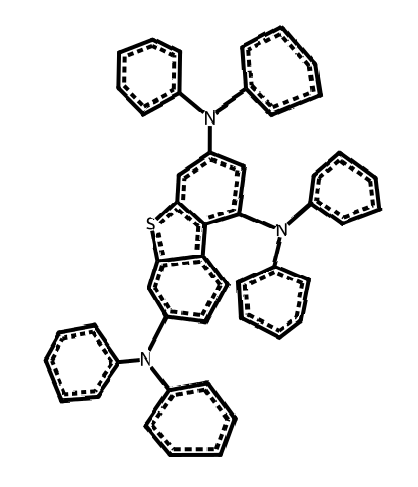 c1ccc(N(c2ccccc2)c2ccc3c(c2)sc2cc(N(c4ccccc4)c4ccccc4)cc(N(c4ccccc4)c4ccccc4)c23)cc1